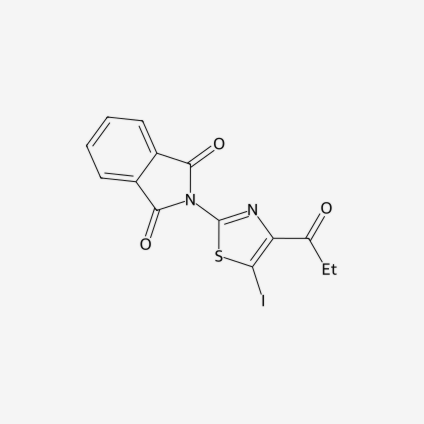 CCC(=O)c1nc(N2C(=O)c3ccccc3C2=O)sc1I